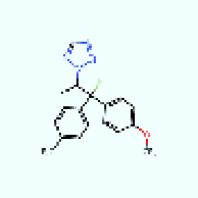 CC(n1ncnn1)C(F)(c1ccc(OC(F)(F)F)cc1)c1ccc(C(F)(F)F)cc1